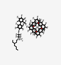 CCCCC(CC)CC[NH2+]C(F)(F)C(F)(F)F.Cc1c(F)c(F)c(F)c(C(F)(F)F)c1-c1c(F)c(F)c(F)c(F)c1F.Fc1c(F)c(F)c2[c]([Al-]([c]3c(F)c(F)c(F)c4c(F)c(F)c(F)c(F)c34)([c]3c(F)c(F)c(F)c4c(F)c(F)c(F)c(F)c34)[c]3c(F)c(F)c(F)c4c(F)c(F)c(F)c(F)c34)c(F)c(F)c(F)c2c1F